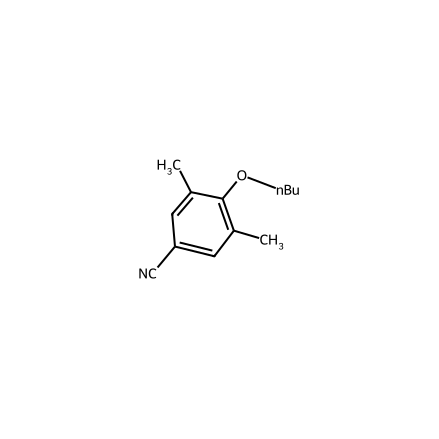 [CH2]CCCOc1c(C)cc(C#N)cc1C